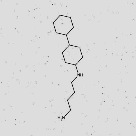 NCCCCNC1CCC(C2CCCCC2)CC1